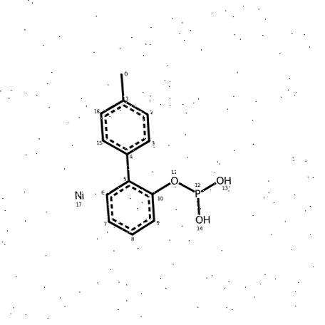 Cc1ccc(-c2ccccc2OP(O)O)cc1.[Ni]